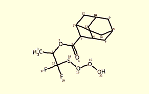 CC(OC(=O)C1C2CC3CC(C2)CC1C3)C(F)(F)SOOO